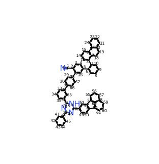 N#Cc1ccc(-c2ccccc2-c2cccc3c2ccc2ccccc23)cc1-c1ccc(-c2cccc(C3N=C(c4ccccc4)N=C(c4ccc5c(c4)-c4cccc6cccc-5c46)N3)c2)cc1